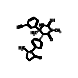 CC1CCC(=O)N1c1ccc([C@H]2C(=O)N(C)C(=N)N[C@]2(C)c2cccc(C#N)c2)cc1